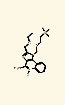 CCOCc1nc2c(N)[n+]([O-])c3ccccc3c2n1COCC[Si](C)(C)C